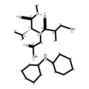 C1CCC(NC2CCCCC2)CC1.COC(=O)[C@@H](C(C)C)N(CC(=O)O)C(=O)C(C)CS